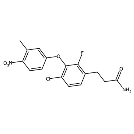 Cc1cc(Oc2c(Cl)ccc([CH]CC(N)=O)c2F)ccc1[N+](=O)[O-]